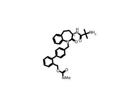 CNC(=O)OCc1ccccc1-c1ccc(CN2C(=O)[C@H](NC(=O)C(C)(C)N)CCc3ccccc32)cc1